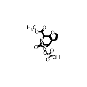 COC(=O)C1c2occc2C2CN1C(=O)N2OS(=O)(=O)O